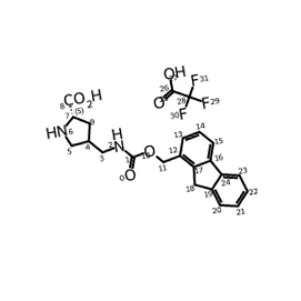 O=C(NCC1CN[C@H](C(=O)O)C1)OCc1cccc2c1Cc1ccccc1-2.O=C(O)C(F)(F)F